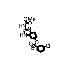 COC(=O)NC1=Nc2ccc(OS(=O)(=O)c3cccc(Cl)c3)cc2NS1